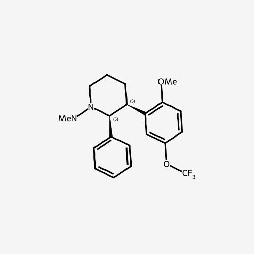 CNN1CCC[C@@H](c2cc(OC(F)(F)F)ccc2OC)[C@H]1c1ccccc1